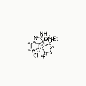 CCOc1ccc(F)cc1[C@]1(O)C(N)=Nc2ccc(Cl)cc21